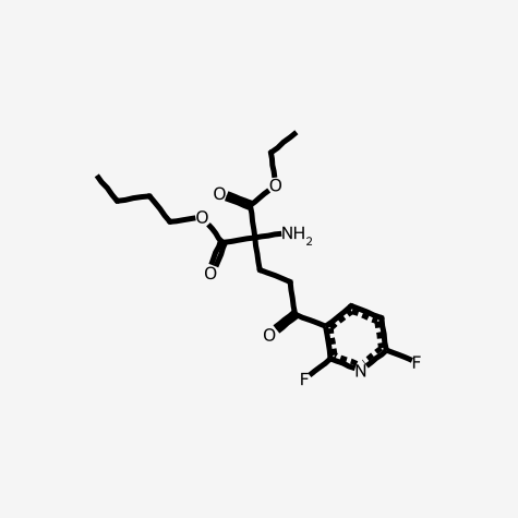 CCCCOC(=O)C(N)(CCC(=O)c1ccc(F)nc1F)C(=O)OCC